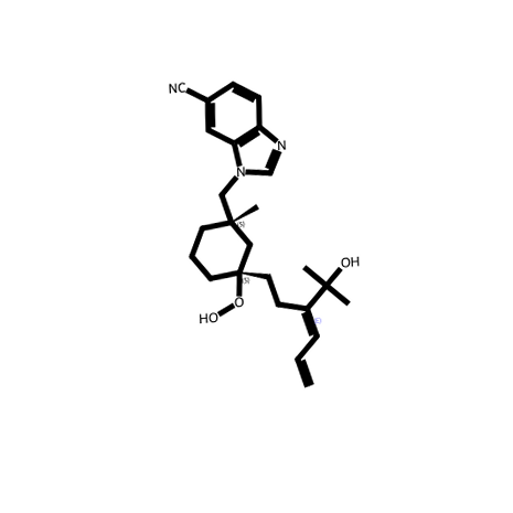 C=C/C=C(\CC[C@@]1(OO)CCC[C@](C)(Cn2cnc3ccc(C#N)cc32)C1)C(C)(C)O